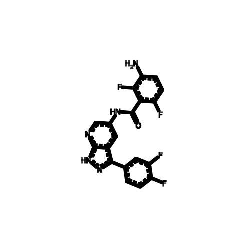 Nc1ccc(F)c(C(=O)Nc2cnc3[nH]nc(-c4ccc(F)c(F)c4)c3c2)c1F